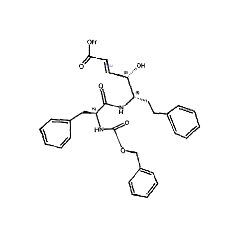 O=C(O)/C=C/[C@H](O)[C@H](CCc1ccccc1)NC(=O)[C@H](Cc1ccccc1)NC(=O)OCc1ccccc1